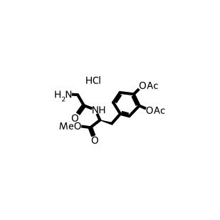 COC(=O)[C@H](Cc1ccc(OC(C)=O)c(OC(C)=O)c1)NC(=O)CN.Cl